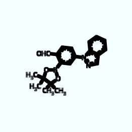 CC1(C)OB(c2cc(-n3ncc4ccccc43)ccc2C=O)OC1(C)C